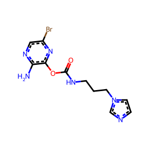 Nc1ncc(Br)nc1OC(=O)NCCCn1ccnc1